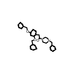 O=C(Cc1ccc(OCc2ccccc2)cc1OCc1ccccc1)N1CCN(Cc2ccccc2)CC1